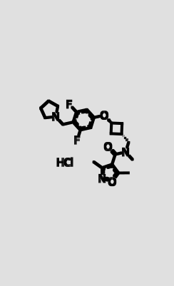 Cc1noc(C)c1C(=O)N(C)C[C@H]1C[C@H](Oc2cc(F)c(CN3CCCC3)c(F)c2)C1.Cl